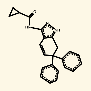 O=C(Nc1n[nH]c2c1C=CC(c1ccccc1)(c1ccccc1)C2)C1CC1